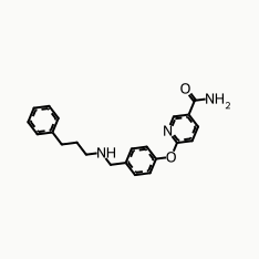 NC(=O)c1ccc(Oc2ccc(CNCCCc3ccccc3)cc2)nc1